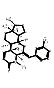 CN1C(=O)C=C[C@]2(C)[C@H]3CC[C@]4(C)[C@@H](O)CC[C@H]4[C@@H]3CC(=Cc3cccc(C(F)(F)F)c3)[C@@H]12